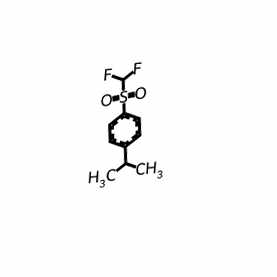 CC(C)c1ccc(S(=O)(=O)C(F)F)cc1